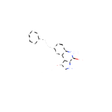 CCOC(=O)Oc1c[nH]c2c(=O)[nH]c3ccc(CCc4ccccc4)cc3c12